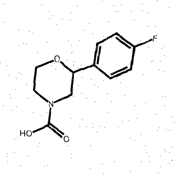 O=C(O)N1CCOC(c2ccc(F)cc2)C1